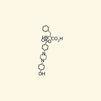 O=C(O)[C@H](Cc1ccccc1)NS(=O)(=O)c1ccc(N2CCN(c3ccc(O)cc3)CC2)cc1